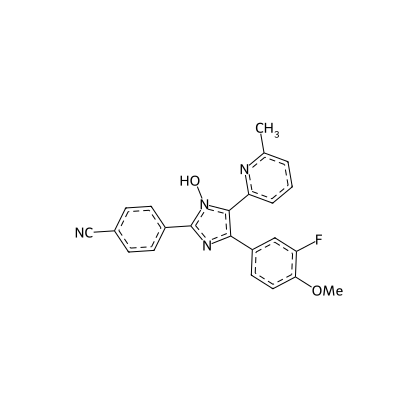 COc1ccc(-c2nc(-c3ccc(C#N)cc3)n(O)c2-c2cccc(C)n2)cc1F